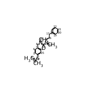 CN(C)Sc1ccc(CN(C)C(=O)N(C)CCCc2ccccc2)cc1